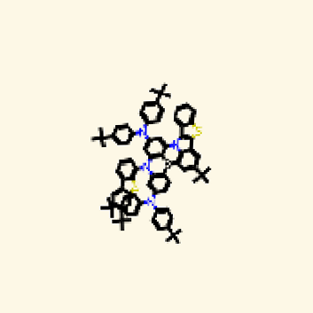 CC(C)(C)c1ccc(N(c2ccc(C(C)(C)C)cc2)c2ccc3c(c2)N(c2cccc4c2sc2cc(C(C)(C)C)ccc24)c2cc(N(c4ccc(C(C)(C)C)cc4)c4ccc(C(C)(C)C)cc4)cc4c2B3c2cc(C(C)(C)C)cc3c5sc6ccccc6c5n-4c23)cc1